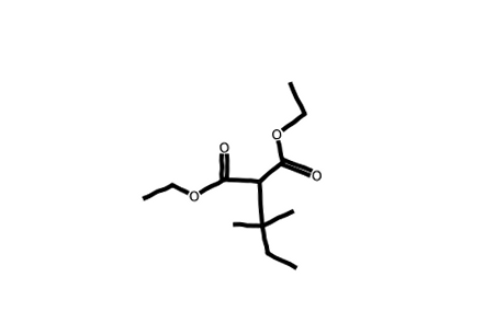 CCOC(=O)C(C(=O)OCC)C(C)(C)CC